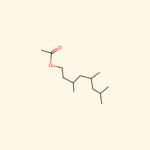 CC(=O)OCCC(C)CC(C)CC(C)C